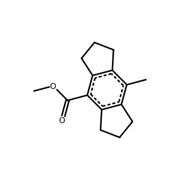 COC(=O)c1c2c(c(C)c3c1CCC3)CCC2